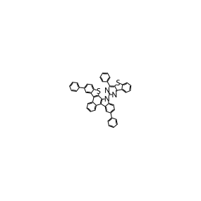 c1ccc(-c2ccc3sc4c(c3c2)c2ccccc2c2c3cc(-c5ccccc5)ccc3n(-c3nc(-c5ccccc5)c5sc6ccccc6c5n3)c42)cc1